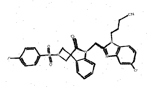 N#CCCCn1c(CN2C(=O)C3(CN(S(=O)(=O)c4ccc(F)cc4)C3)c3ccccc32)nc2cc(Cl)ccc21